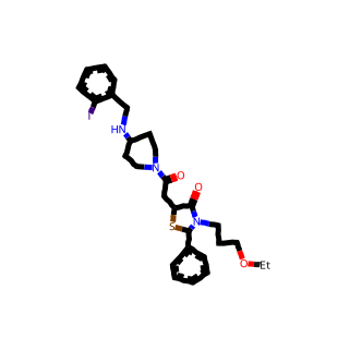 CCOCCCN1C(=O)C(CC(=O)N2CCC(NCc3ccccc3I)CC2)SC1c1ccccc1